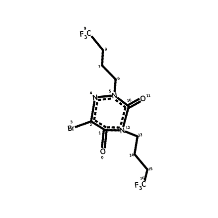 O=c1c(Br)nn(CCCC(F)(F)F)c(=O)n1CCCC(F)(F)F